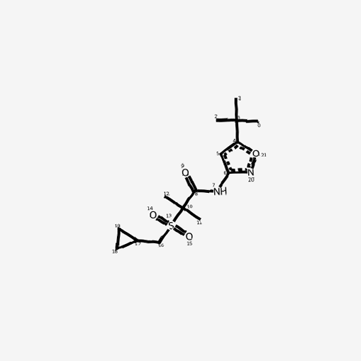 CC(C)(C)c1cc(NC(=O)C(C)(C)S(=O)(=O)CC2CC2)no1